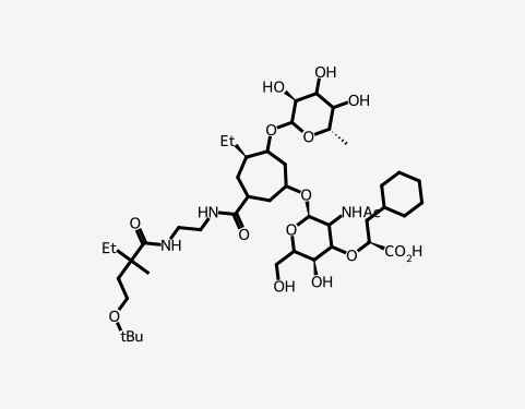 CC[C@@H]1CC(C(=O)NCCNC(=O)C(C)(CC)CCOC(C)(C)C)CC(O[C@@H]2OC(CO)[C@H](O)C(O[C@@H](CC3CCCCC3)C(=O)O)C2NC(C)=O)CC1OC1O[C@@H](C)C(O)C(O)[C@@H]1O